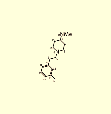 CNC1CCN(CCc2cccc(C)c2)CC1